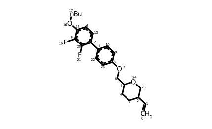 C=CC1CCC(COc2ccc(-c3ccc(OCCCC)c(F)c3F)cc2)OC1